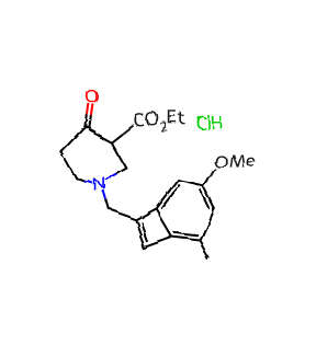 CCOC(=O)C1CN(CC2=Cc3c(C)cc(OC)cc32)CCC1=O.Cl